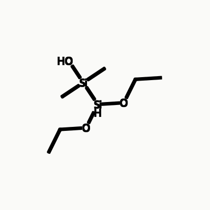 CCO[SiH](OCC)[Si](C)(C)O